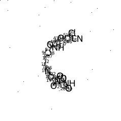 CC1(C)C(NC(=O)c2ccc(CCCC3CN(c4ccc5c(c4)C(=O)N(C4CCC(=O)NC4=O)C5=O)C3)cc2)C(C)(C)C1Oc1ccc(C#N)c(Cl)c1